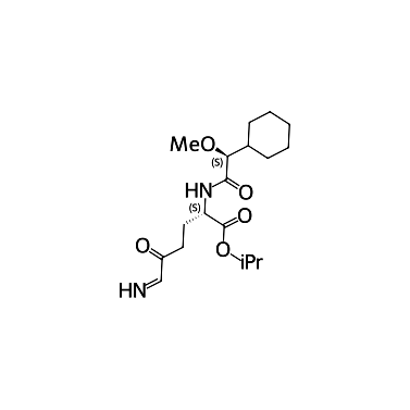 CO[C@H](C(=O)N[C@@H](CCC(=O)C=N)C(=O)OC(C)C)C1CCCCC1